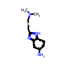 CN(C)CCCc1nc2cc(N)ccc2[nH]1